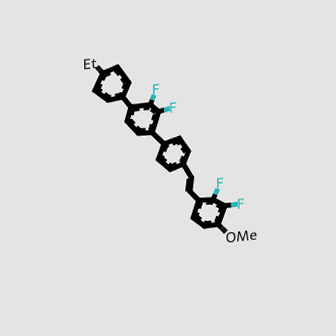 CCc1ccc(-c2ccc(-c3ccc(/C=C/c4ccc(OC)c(F)c4F)cc3)c(F)c2F)cc1